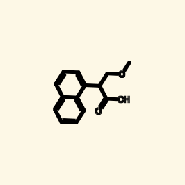 COCC(C(=O)O)c1cccc2ccccc12